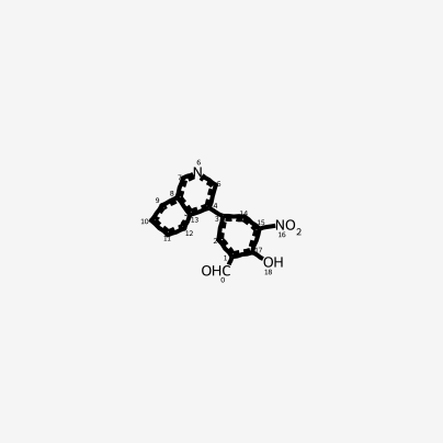 O=Cc1cc(-c2cncc3ccccc23)cc([N+](=O)[O-])c1O